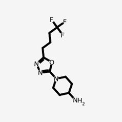 NC1CCN(c2nnc(CCCC(F)(F)F)o2)CC1